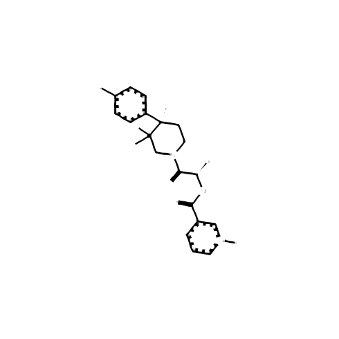 CC(C)[C@@H](NC(=O)c1ccc[n+]([O-])c1)C(=O)N1CC[C@](O)(c2ccc(Cl)cc2)C(C)(C)C1